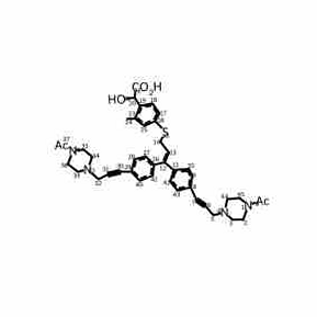 CC(=O)N1CCN(CC#Cc2ccc(C(=CCSc3ccc(C(O)C(=O)O)c(C)c3)c3ccc(C#CCN4CCN(C(C)=O)CC4)cc3)cc2)CC1